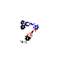 COc1cc(C)c(S(=O)(=O)N(C)CCOc2ccnc(N(C)CCN3CCC(c4ccccc4)(N4CCCC4)CC3)n2)c(C)c1